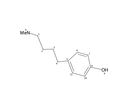 CNCCCCc1ccc(O)cc1